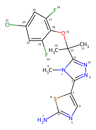 Cn1c(-c2cnc(N)s2)nnc1C(C)(C)Oc1c(F)cc(Cl)cc1F